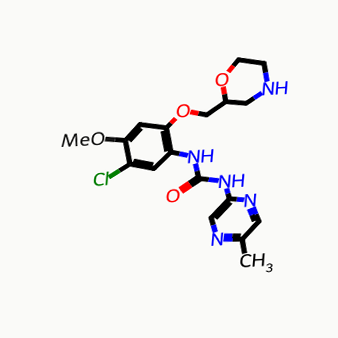 COc1cc(OCC2CNCCO2)c(NC(=O)Nc2cnc(C)cn2)cc1Cl